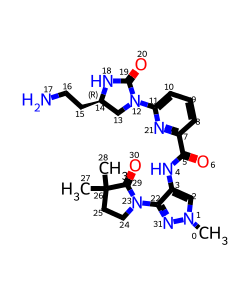 Cn1cc(NC(=O)c2cccc(N3C[C@@H](CCN)NC3=O)n2)c(N2CCC(C)(C)C2=O)n1